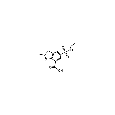 CCNS(=O)(=O)c1cc2c(c(C(=O)O)c1)OC(C)C2